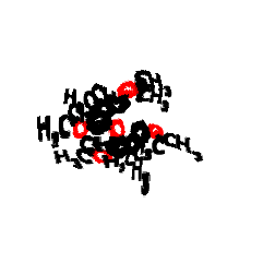 CC(C)Oc1ccc2c(c1)C(C)(C)c1cc(OC(C)C)cc(Oc3cc(OC(C)C)cc4c3-c3ccc(OC(C)C)cc3C4(C)C)c1-2